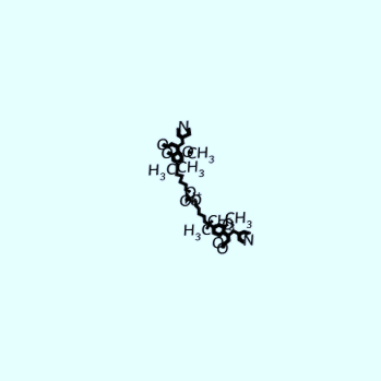 COc1cc(C(C)(C)CCCCCO[N+](=O)OCCCCCC(C)(C)c2cc(OC)c3c(Cc4ccncc4)cc(=O)oc3c2)cc2oc(=O)cc(Cc3ccncc3)c12